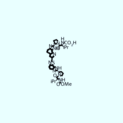 COC(=O)N[C@H](C(=O)N1CCC[C@H]1c1nc2ccc3nc(-c4cnc5c(ccc6nc([C@@H]7CCCN7C(=O)[C@@H](NC(=O)O)C(C)C)[nH]c65)c4)sc3c2[nH]1)C(C)C